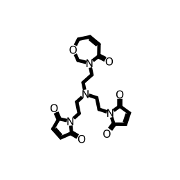 O=C1C=CCOCN1CCN(CCN1C(=O)C=CC1=O)CCN1C(=O)C=CC1=O